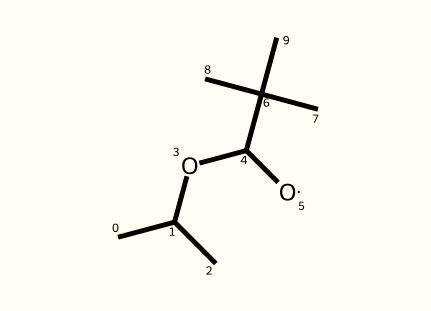 CC(C)OC([O])C(C)(C)C